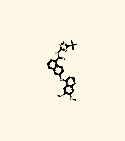 COc1cc2nccc(Oc3ccc4c(C(=O)Nc5nnc(C(C)(C)C)s5)cccc4c3)c2cc1OC